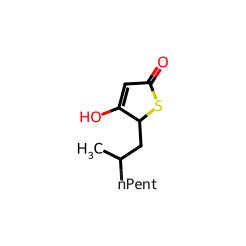 CCCCCC(C)CC1SC(=O)C=C1O